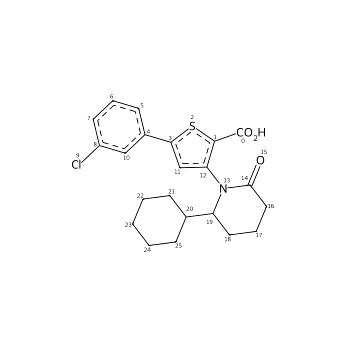 O=C(O)c1sc(-c2cccc(Cl)c2)cc1N1C(=O)CCCC1C1CCCCC1